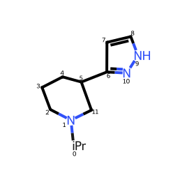 CC(C)N1CCCC(c2cc[nH]n2)C1